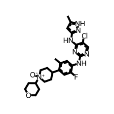 Cc1cc(Nc2nc(Nc3cc(C)c(C4CC[N+]([O-])(C5CCOCC5)CC4)cc3F)ncc2Cl)n[nH]1